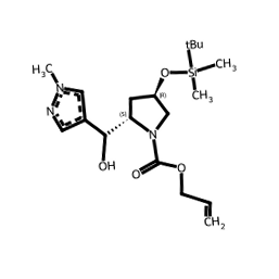 C=CCOC(=O)N1C[C@H](O[Si](C)(C)C(C)(C)C)C[C@H]1C(O)c1cnn(C)c1